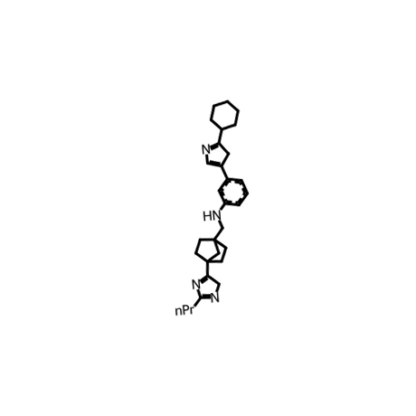 CCCC1=NCC(C23CCC(CNc4cccc(C5=CN=C(C6CCCCC6)C5)c4)(CC2)C3)=N1